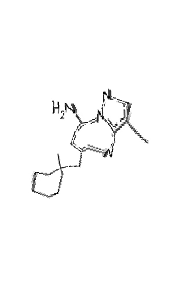 Cc1cnn2c(N)cc(CC3(C)CCC3)nc12